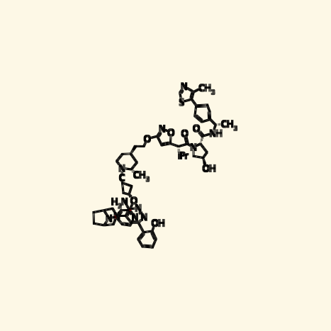 Cc1ncsc1-c1ccc([C@H](C)NC(=O)[C@@H]2C[C@@H](O)CN2C(=O)[C@@H](c2cc(OCC[C@@H]3CCN(C[C@H]4C[C@H](Oc5cc(N6C7CCC6CN(c6cc(-c8ccccc8O)nnc6N)C7)ccn5)C4)[C@@H](C)C3)no2)C(C)C)cc1